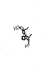 CCCc1cc(C(C)(c2ccccc2)c2ccc(OCCO)c(CCC)c2)ccc1OCCO